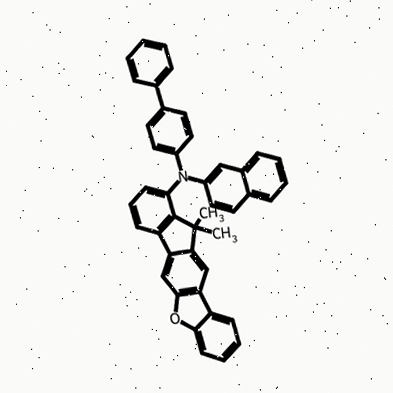 CC1(C)c2cc3c(cc2-c2cccc(N(c4ccc(-c5ccccc5)cc4)c4ccc5ccccc5c4)c21)oc1ccccc13